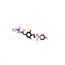 Cc1cc(CC(=O)NC(N)=O)cc(C)c1/C=C/S(=O)(=O)N1CCC(=O)CC1